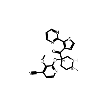 COc1c(C#N)ccnc1O[C@]1(C(=O)c2ccsc2-c2ncccn2)CC[C@@H](C)NC1